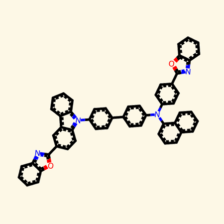 c1ccc2c(N(c3ccc(-c4ccc(-n5c6ccccc6c6cc(-c7nc8ccccc8o7)ccc65)cc4)cc3)c3ccc(-c4nc5ccccc5o4)cc3)cccc2c1